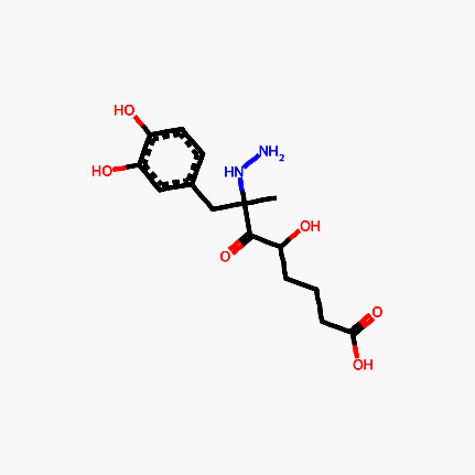 CC(Cc1ccc(O)c(O)c1)(NN)C(=O)C(O)CCCC(=O)O